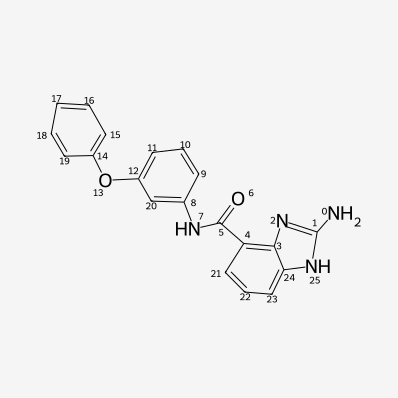 Nc1nc2c(C(=O)Nc3cccc(Oc4ccccc4)c3)cccc2[nH]1